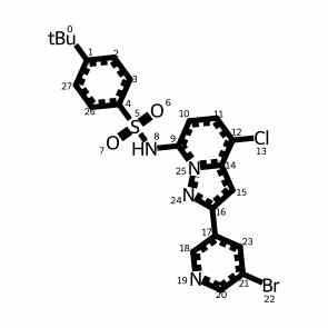 CC(C)(C)c1ccc(S(=O)(=O)Nc2ccc(Cl)c3cc(-c4cncc(Br)c4)nn23)cc1